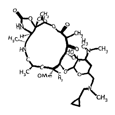 CO[C@]1(C)C[C@@H](C)CN[C@H](C)[C@H]2NC(=O)O[C@]2(C)[C@@H](C)OC(=O)C(C)C(=O)[C@H](C)[C@H]1OC1OC(CN(C)CC2CC2)CC(N(C)C)C1O